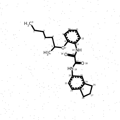 CCCCCC(C)Oc1ccccc1NC(=O)C(=O)Nc1ccc2c(c1)CCC2